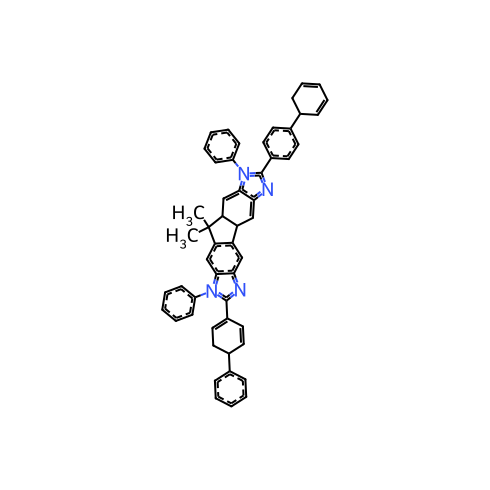 CC1(C)c2cc3c(cc2C2C=c4nc(-c5ccc(C6C=CC=CC6)cc5)n(-c5ccccc5)c4=CC21)nc(C1=CCC(c2ccccc2)C=C1)n3-c1ccccc1